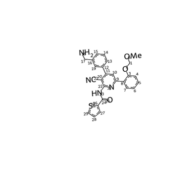 COCOc1ccccc1-c1cc(-c2cccc(CN)c2)c(C#N)c(NC(=O)c2cccs2)n1